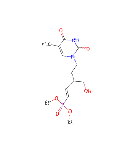 CCOP(=O)(C=CC(CO)CCn1cc(C)c(=O)[nH]c1=O)OCC